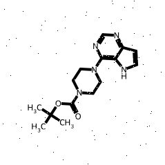 CC(C)(C)OC(=O)N1CCN(c2ncnc3cc[nH]c23)CC1